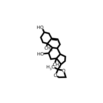 CC1(C2CCC3C4CC=C5CC(O)CCC5(C)C4C(O)CC32C)OCCO1